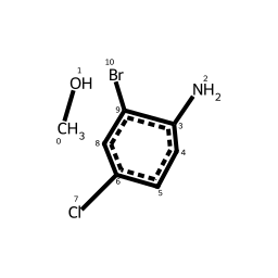 CO.Nc1ccc(Cl)cc1Br